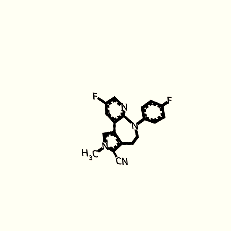 Cn1cc2c(c1C#N)CCN(c1ccc(F)cc1)c1ncc(F)cc1-2